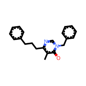 Cc1c(CCCc2ccccc2)ncn(Cc2ccccc2)c1=O